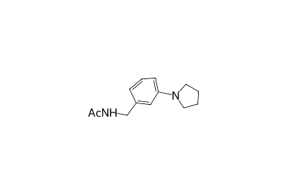 CC(=O)NCc1cccc(N2CCCC2)c1